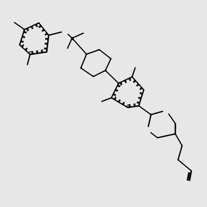 C=CCCC1COC(c2cc(F)c(C3CCC(C(F)(F)Oc4cc(F)cc(F)c4)CC3)c(F)c2)OC1